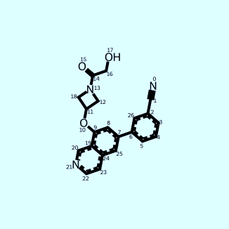 N#Cc1cccc(-c2cc(OC3CN(C(=O)CO)C3)c3cnccc3c2)c1